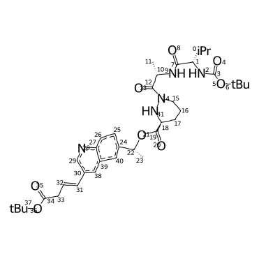 CC(C)[C@H](NC(=O)OC(C)(C)C)C(=O)N[C@@H](C)C(=O)N1CCC[C@@H](C(=O)O[C@H](C)c2ccc3ncc(/C=C/CC(=O)OC(C)(C)C)cc3c2)N1